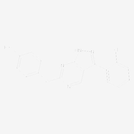 FC(F)(F)c1ccc(Oc2ncc3c(-c4ccccc4Cl)n[nH]c3n2)cc1